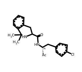 CC(=O)[C@@H](Cc1ccc(Cl)cc1)NC(=O)C1Cc2ccccc2C(C)(C)N1